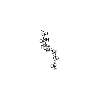 C=C(C)C(=O)OCCNC(=O)OCC(F)(F)OCOC(F)(F)C(F)(F)OC(F)(F)COC(=O)NCCOC(=O)C(=C)C